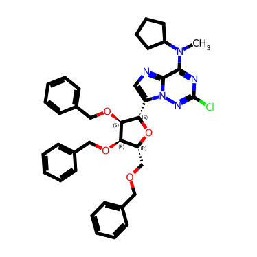 CN(c1nc(Cl)nn2c([C@@H]3O[C@H](COCc4ccccc4)[C@@H](OCc4ccccc4)[C@H]3OCc3ccccc3)cnc12)C1CCCC1